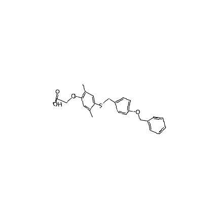 Cc1cc(SCc2ccc(OCc3ccccc3)cc2)c(C)cc1OCC(=O)O